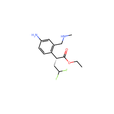 CCOC(=O)[C@H](CC(F)F)c1ccc(N)cc1CNC